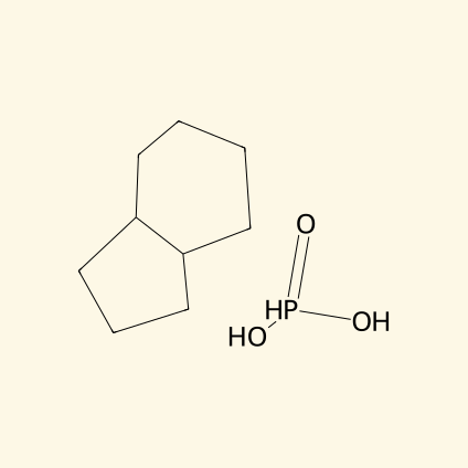 C1CCC2CCCC2C1.O=[PH](O)O